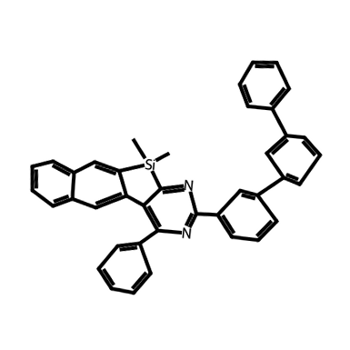 C[Si]1(C)c2cc3ccccc3cc2-c2c(-c3ccccc3)nc(-c3cccc(-c4cccc(-c5ccccc5)c4)c3)nc21